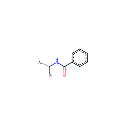 CC(=O)[C@H](NC(=O)c1ccccc1)C(C)C